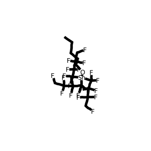 CCCCC[O][Sn]([C](F)(F)C(F)(F)C(F)(F)CF)([C](F)(F)C(F)(F)C(F)(F)CF)[C](F)(F)C(F)(F)C(F)(F)CF